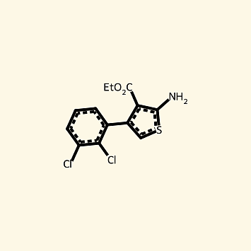 CCOC(=O)c1c(-c2cccc(Cl)c2Cl)csc1N